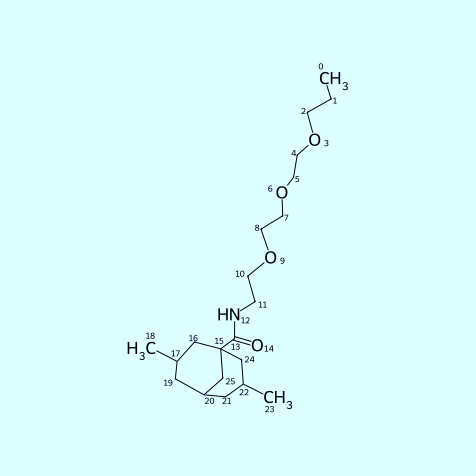 CCCOCCOCCOCCNC(=O)C12CC(C)CC(CC(C)C1)C2